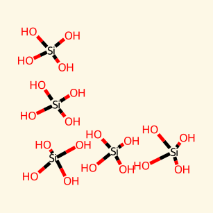 O[Si](O)(O)O.O[Si](O)(O)O.O[Si](O)(O)O.O[Si](O)(O)O.O[Si](O)(O)O